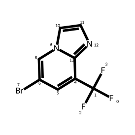 FC(F)(F)c1cc(Br)cn2ccnc12